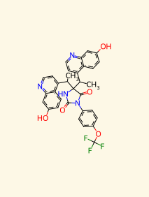 CC(c1ccnc2cc(O)ccc12)C1(C(C)c2ccnc3cc(O)ccc23)NC(=O)N(c2ccc(OC(F)(F)F)cc2)C1=O